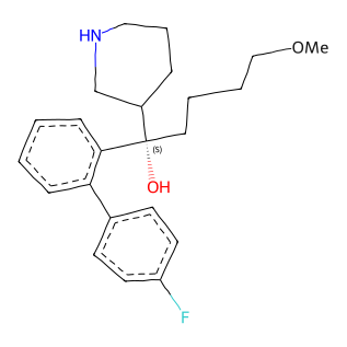 COCCCC[C@@](O)(c1ccccc1-c1ccc(F)cc1)C1CCCNC1